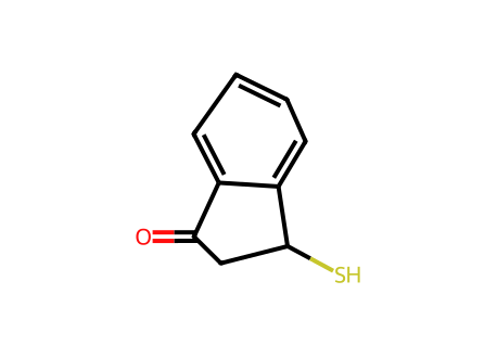 O=C1CC(S)c2ccccc21